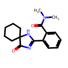 CN(C)C(=O)c1ccccc1C1=NC(=O)C2(CCCCC2)N1